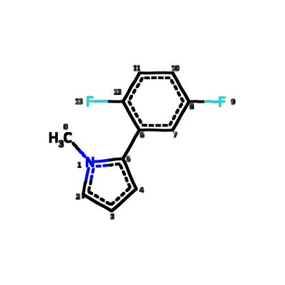 Cn1[c]ccc1-c1cc(F)ccc1F